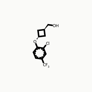 OC[C@H]1C[C@H](Oc2ccc(C(F)(F)F)cc2Cl)C1